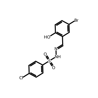 O=S(=O)(N/N=C/c1cc(Br)ccc1O)c1ccc(Cl)cc1